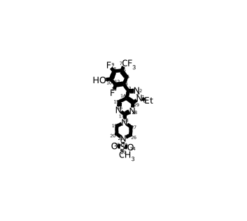 CCn1nc(-c2cc(C(F)(F)F)c(F)c(O)c2F)c2cnc(N3CCN(S(C)(=O)=O)CC3)nc21